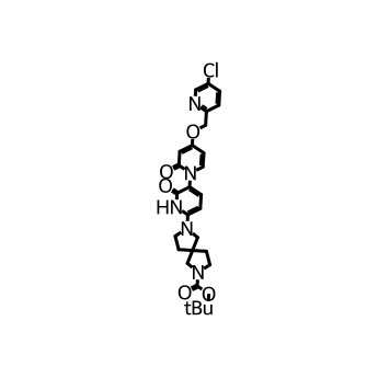 CC(C)(C)OC(=O)N1CCC2(CCN(c3ccc(-n4ccc(OCc5ccc(Cl)cn5)cc4=O)c(=O)[nH]3)C2)C1